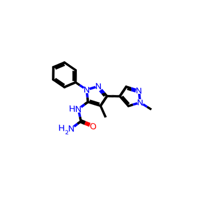 Cc1c(-c2cnn(C)c2)nn(-c2ccccc2)c1NC(N)=O